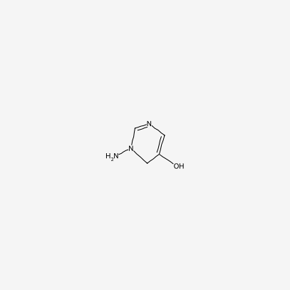 NN1C=NC=C(O)C1